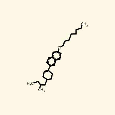 CCCCCCCCOc1ccc2cc(C3=CCC(CC(C)CC)CC3)ccc2c1